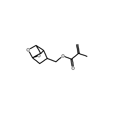 C=C(C)C(=O)OCC1CC23CC(O2)C1O3